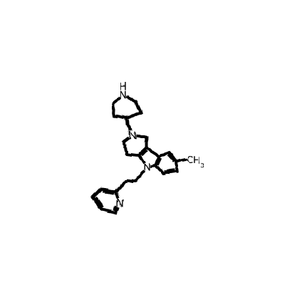 Cc1ccc2c(c1)c1c(n2CCc2ccccn2)CCN(C2CCNCC2)C1